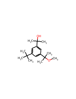 COC(C)(C)c1cc(C(C)(C)C)cc(C(C)(C)O)c1